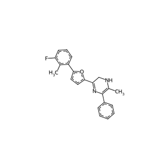 CC1=C(c2ccccc2)N=C(c2ccc(-c3cccc(F)c3C)o2)CN1